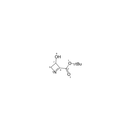 CC(C)(C)OC(=O)C1=NCC1O